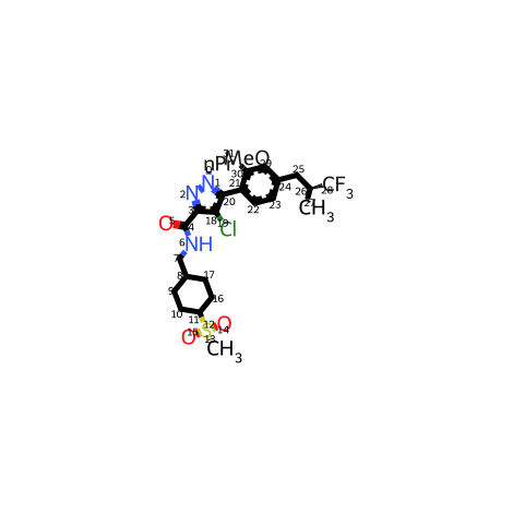 CCCn1nc(C(=O)NCC2CCC(S(C)(=O)=O)CC2)c(Cl)c1-c1ccc(C[C@H](C)C(F)(F)F)cc1OC